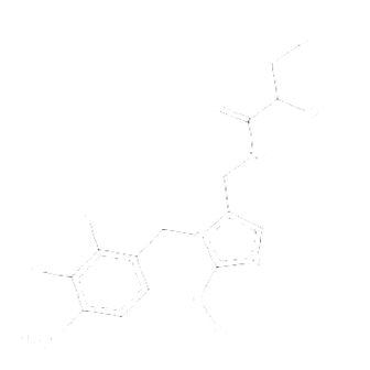 CCCOc1ncc(CNC(=O)C(S)CC(C)C)n1Cc1ccc(C(=O)O)c(F)c1F